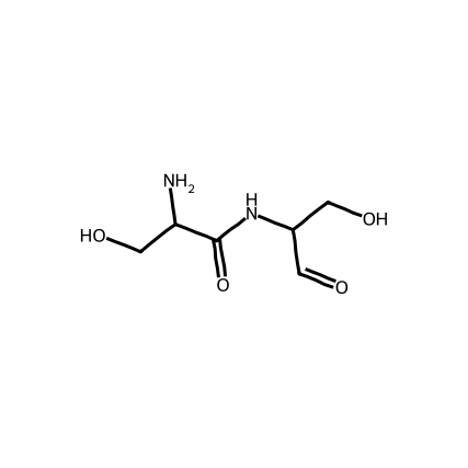 NC(CO)C(=O)NC(C=O)CO